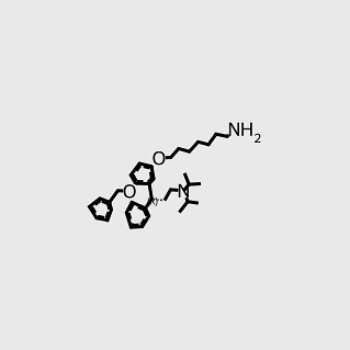 CC(C)N(CC[C@H](c1ccccc1)c1cc(OCCCCCCCN)ccc1OCc1ccccc1)C(C)C